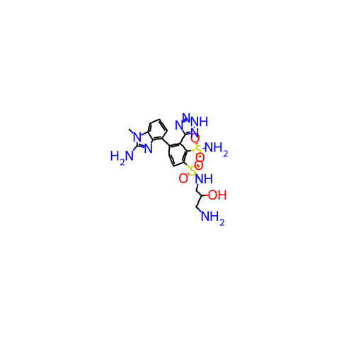 Cn1c(N)nc2c(-c3ccc(S(=O)(=O)NCC(O)CN)c(S(N)(=O)=O)c3-c3nn[nH]n3)cccc21